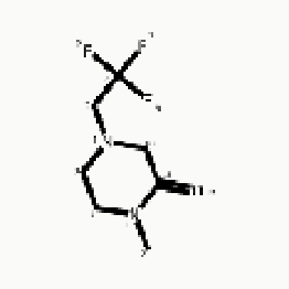 CN1CCN(CC(F)(F)F)CC1=O